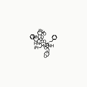 CC(C)CC(NC(=O)[C@H](CCc1ccccc1)NC(=O)CN1CCOCC1)C(=O)NC(Cc1ccccc1)C(=O)NC(CC(C)C)C(=O)C1(C)CO1